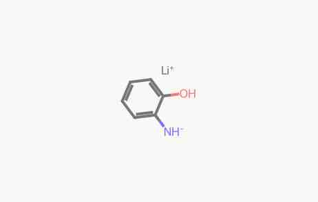 [Li+].[NH-]c1ccccc1O